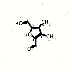 Cc1c(C=O)oc(C=O)c1C